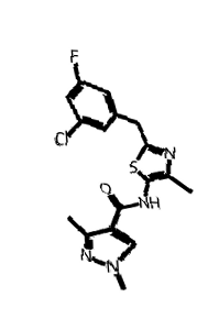 Cc1nn(C)cc1C(=O)Nc1sc(Cc2cc(F)cc(Cl)c2)nc1C